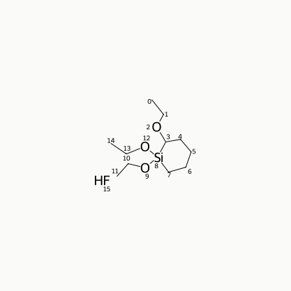 CCOC1CCCC[Si]1(OCC)OCC.F